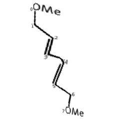 COCC=C/[C]=C/COC